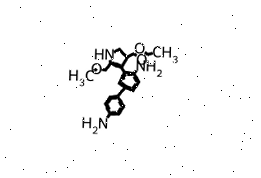 COCC1=C(c2cc(-c3ccc(N)cc3)ccc2N)C(C2OC(C)O2)CN1